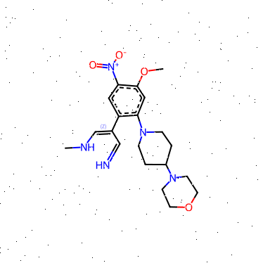 CN/C=C(\C=N)c1cc([N+](=O)[O-])c(OC)cc1N1CCC(N2CCOCC2)CC1